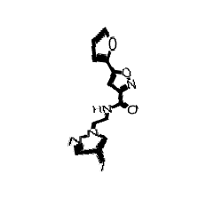 O=C(NCCn1cc(I)cn1)c1cc(-c2ccco2)on1